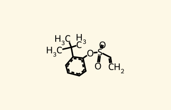 C=CS(=O)(=O)Oc1ccccc1C(C)(C)C